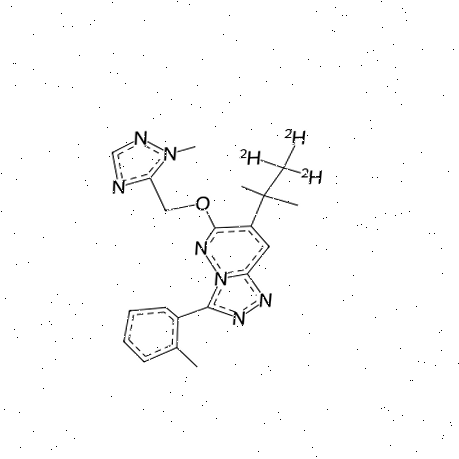 [2H]C([2H])([2H])C(C)(C)c1cc2nnc(-c3ccccc3C)n2nc1OCc1ncnn1C